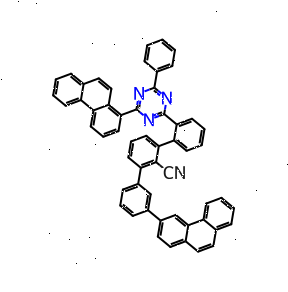 N#Cc1c(-c2cccc(-c3ccc4ccc5ccccc5c4c3)c2)cccc1-c1ccccc1-c1nc(-c2ccccc2)nc(-c2cccc3c2ccc2ccccc23)n1